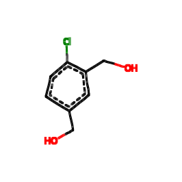 OCc1ccc(Cl)c(CO)c1